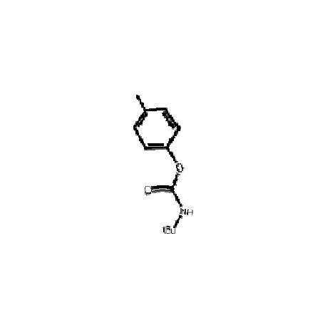 Cc1ccc(OC(=O)NC(C)(C)C)cc1